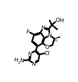 C[C@H]1COc2c(-c3nc(N)ncc3Cl)cc(F)c3nc(C(C)(C)O)n1c23